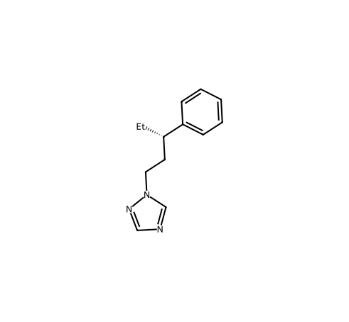 CC[C@@H](CCn1cncn1)c1ccccc1